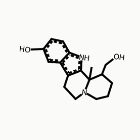 CC12c3[nH]c4ccc(O)cc4c3CCN1CCCC2CO